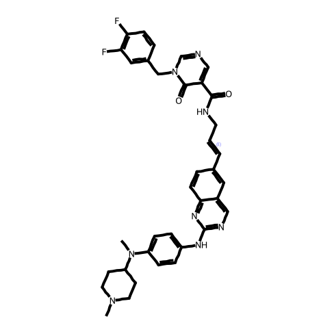 CN1CCC(N(C)c2ccc(Nc3ncc4cc(/C=C/CNC(=O)c5cncn(Cc6ccc(F)c(F)c6)c5=O)ccc4n3)cc2)CC1